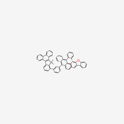 CC1(C)c2c(-c3cccc(-c4c5ccccc5c(-c5ccccc5-c5cccc6c5oc5ccccc56)c5ccccc45)c3)cccc2-c2c1c1ccccc1c1ccccc21